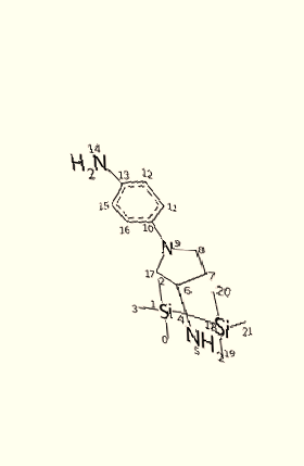 C[Si](C)(C)C(N)(C1CCN(c2ccc(N)cc2)C1)[Si](C)(C)C